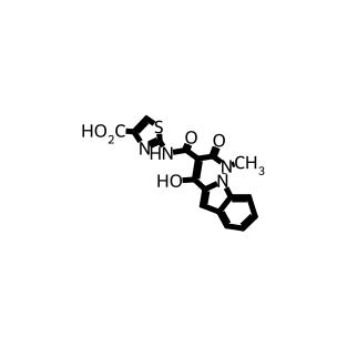 Cn1c(=O)c(C(=O)Nc2nc(C(=O)O)cs2)c(O)c2cc3ccccc3n21